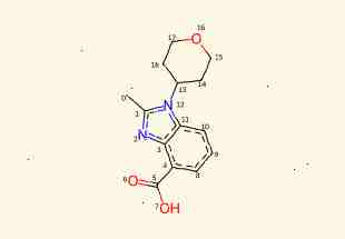 Cc1nc2c(C(=O)O)cccc2n1C1CCOCC1